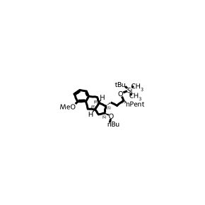 CCCCC[C@H](CC[C@H]1[C@@H]2Cc3cccc(OC)c3C[C@@H]2C[C@@H]1OCCCC)O[Si](C)(C)C(C)(C)C